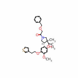 COc1ccc([C@@H]2CN(C(=O)COCc3ccccc3)C[C@@]2(C)[C@@H](C)O)cc1OCCc1ccsc1